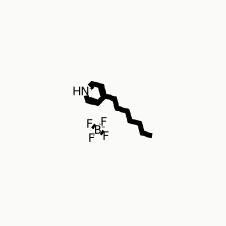 CCCCCCCc1cc[nH+]cc1.F[B-](F)(F)F